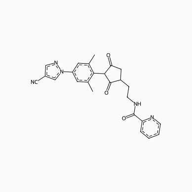 Cc1cc(-n2cc(C#N)cn2)cc(C)c1C1C(=O)CC(CCNC(=O)c2ccccn2)C1=O